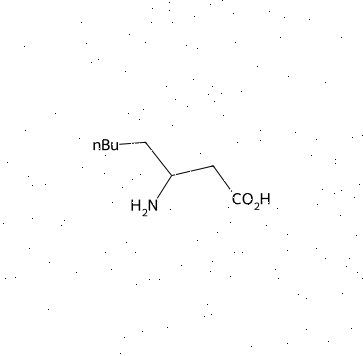 CCCCCC(N)CC(=O)O